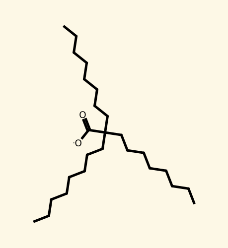 CCCCCCCCC(CCCCCCCC)(CCCCCCCC)C([O])=O